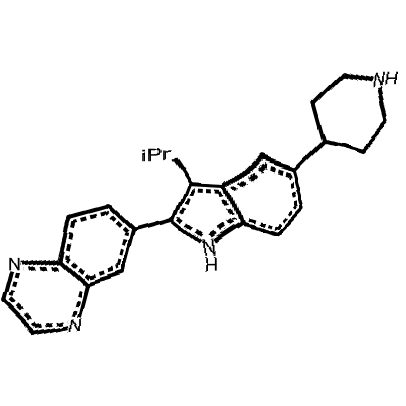 CC(C)c1c(-c2ccc3nccnc3c2)[nH]c2ccc(C3CCNCC3)cc12